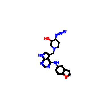 [N-]=[N+]=NC1CCN(Cc2c[nH]c3ncnc(Nc4ccc5occc5c4)c23)CC1O